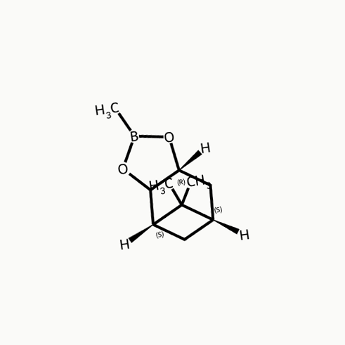 CB1OC2[C@H]3C[C@@H](C[C@H]2O1)C3(C)C